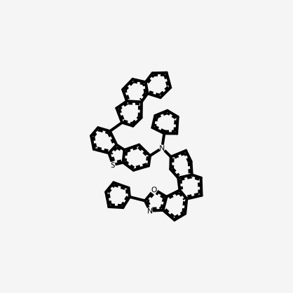 c1ccc(-c2nc3ccc4ccc5ccc(N(c6ccccc6)c6ccc7sc8cccc(-c9ccc%10c(ccc%11ccccc%11%10)c9)c8c7c6)cc5c4c3o2)cc1